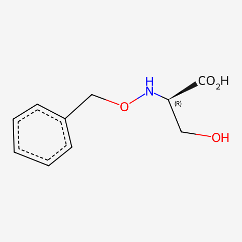 O=C(O)[C@@H](CO)NOCc1ccccc1